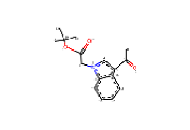 CC(=O)c1cn(CC(=O)OC(C)(C)C)c2ccccc12